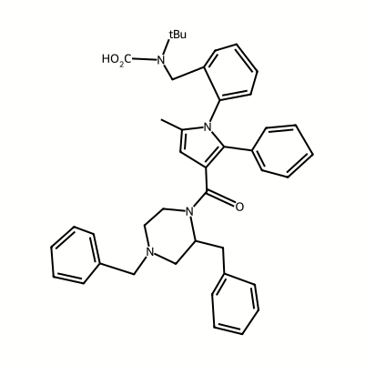 Cc1cc(C(=O)N2CCN(Cc3ccccc3)CC2Cc2ccccc2)c(-c2ccccc2)n1-c1ccccc1CN(C(=O)O)C(C)(C)C